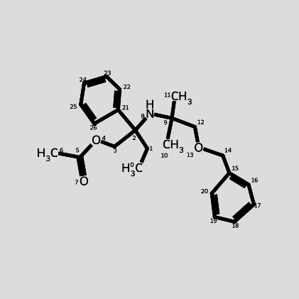 CCC(COC(C)=O)(NC(C)(C)COCc1ccccc1)c1ccccc1